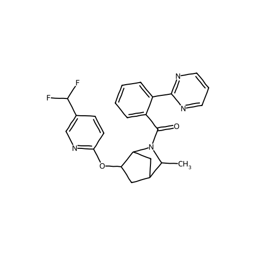 CC1C2CC(Oc3ccc(C(F)F)cn3)C(C2)N1C(=O)c1ccccc1-c1ncccn1